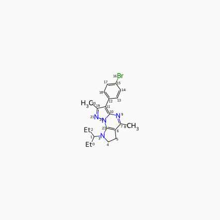 CCC(CC)N1CCc2c(C)nc3c(-c4ccc(Br)cc4)c(C)nn3c21